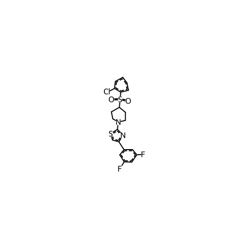 O=S(=O)(c1ccccc1Cl)C1CCN(c2nc(-c3cc(F)cc(F)c3)cs2)CC1